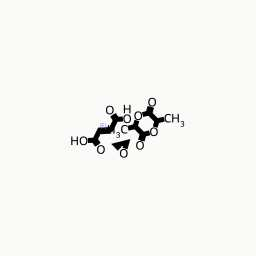 C1CO1.CC1OC(=O)C(C)OC1=O.O=C(O)/C=C/C(=O)O